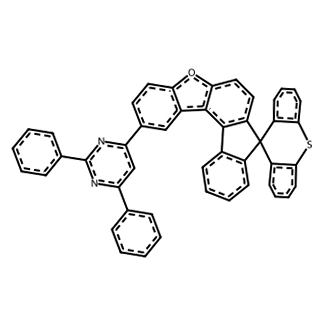 c1ccc(-c2cc(-c3ccc4oc5ccc6c(c5c4c3)-c3ccccc3C63c4ccccc4Sc4ccccc43)nc(-c3ccccc3)n2)cc1